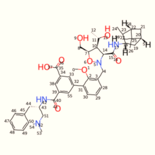 COc1c(CN2O[C@@H](CO)[C@@H]([C@H](C)O)[C@H]2C(=O)N[C@H]2C[C@H]3C[C@@H]([C@@H]2C)C3(C)C)cccc1-c1cc(C(=O)O)cc(C(=O)N[C@@H](Cc2ccccc2)CN(C)C)c1